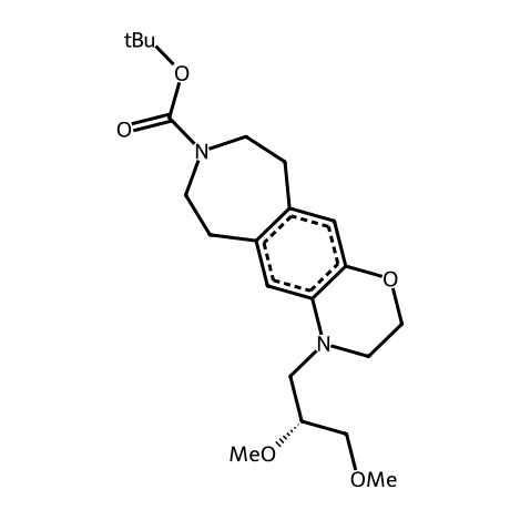 COC[C@@H](CN1CCOc2cc3c(cc21)CCN(C(=O)OC(C)(C)C)CC3)OC